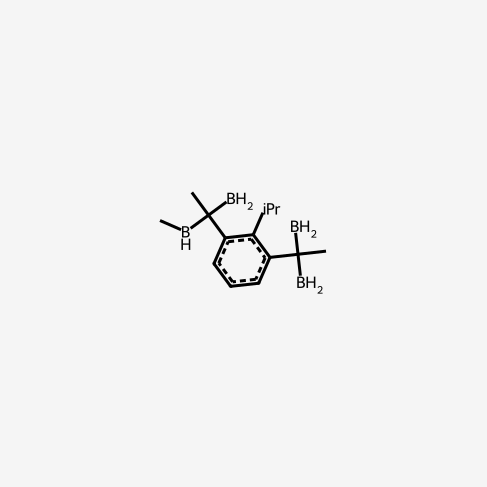 BC(B)(C)c1cccc(C(B)(C)BC)c1C(C)C